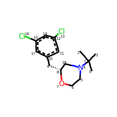 CC(C)(C)N1CCO[C@H](Cc2cc(Cl)cc(Cl)c2)C1